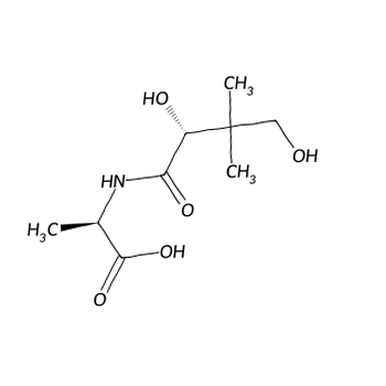 C[C@@H](NC(=O)[C@H](O)C(C)(C)CO)C(=O)O